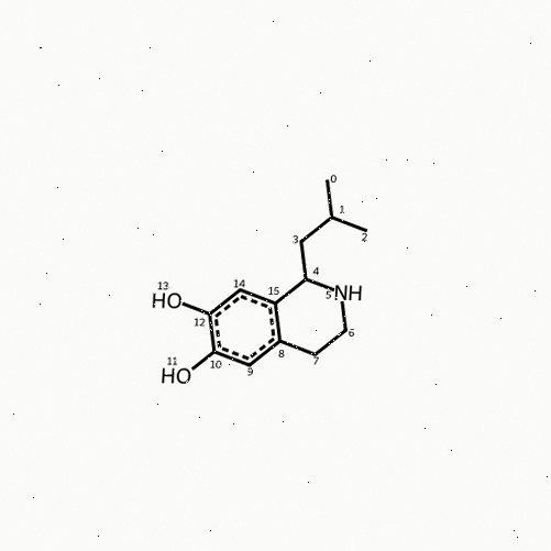 CC(C)CC1NCCc2cc(O)c(O)cc21